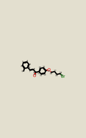 Cc1ccccc1C=CC(=O)c1ccc(OCCCCBr)cc1